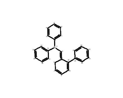 C1=CCC(=CP(c2ccccc2)c2ccccc2)C(c2ccccc2)=C1